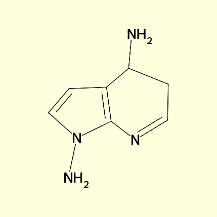 NC1CC=Nc2c1ccn2N